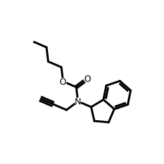 C#CCN(C(=O)OCCCC)C1CCc2ccccc21